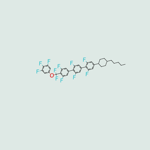 CCCCCC1CCC(c2cc(F)c(-c3cc(F)c(-c4cc(F)c(C(F)(F)Oc5cc(F)c(F)c(F)c5)c(F)c4)c(F)c3)c(F)c2)CC1